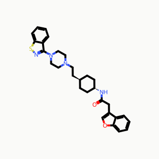 O=C(Cc1coc2ccccc12)N[C@H]1CC[C@H](CCN2CCN(c3nsc4ccccc34)CC2)CC1